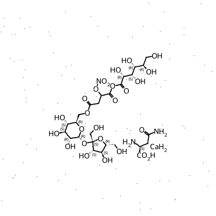 NC(=O)C[C@H](N)C(=O)O.O=C(CC(O[N+](=O)[O-])C(=O)OC(=O)[C@H](O)[C@@H](O)[C@H](O)[C@H](O)CO)OC[C@H]1O[C@H](O[C@]2(CO)O[C@H](CO)[C@@H](O)[C@@H]2O)[C@H](O)[C@@H](O)[C@@H]1O.[CaH2]